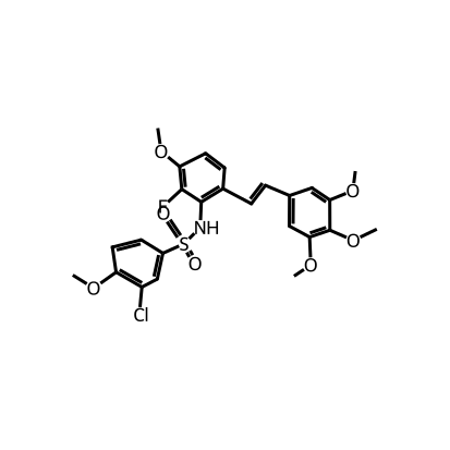 COc1ccc(S(=O)(=O)Nc2c(C=Cc3cc(OC)c(OC)c(OC)c3)ccc(OC)c2F)cc1Cl